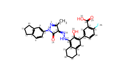 CC1=NN(c2ccc3c(c2)CCC3)C(=O)/C1=N\Nc1c(O)c(-c2ccc(F)c(C(=O)O)c2)cc2c1CCCC2